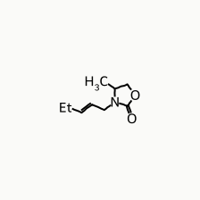 CCC=CCN1C(=O)OCC1C